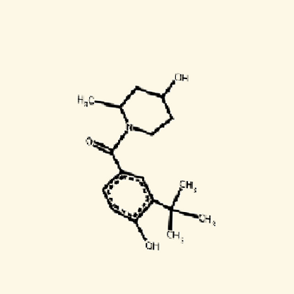 CC1CC(O)CCN1C(=O)c1ccc(O)c(C(C)(C)C)c1